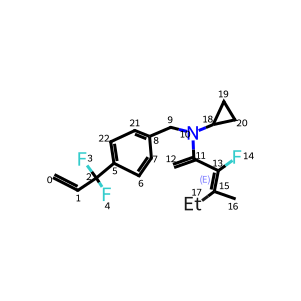 C=CC(F)(F)c1ccc(CN(C(=C)/C(F)=C(/C)CC)C2CC2)cc1